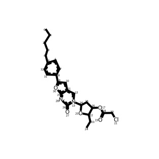 CCCCCc1ccc(-c2cc3cn(C4CC(OC(=O)CCl)C(CC)O4)c(=O)nc3o2)cc1